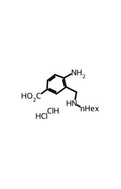 CCCCCCNCc1cc(C(=O)O)ccc1N.Cl.Cl